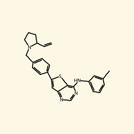 C=CC1CCCN1Cc1ccc(-c2cc3ncnc(Nc4cccc(C)c4)c3s2)cc1